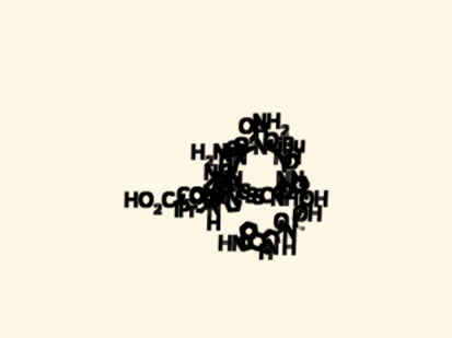 CC[C@H](C)C1NC(=O)[C@H](Cc2ccc(O)cc2)NC(=O)[C@@H](N)CSSC[C@@H](C(=O)N2CCC[C@H]2C(=O)N[C@@H](CC(C)C)C(=O)NCC(N)=O)NC(=O)[C@H](CC(N)=O)NC(=O)[C@H](CCC(N)=O)NC1=O.C[C@@H](CO)NC(=O)[C@@H]1C=C2c3cccc4[nH]cc(c34)C[C@H]2N(C)C1.O=C(O)/C=C\C(=O)O